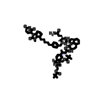 C/C(=C\C(=O)N[C@H]1CCc2cccc3c2N(C1=O)[C@H](C(=O)N[C@@H](CCC(N)=O)[C@@H](C)OCc1ccc(CCCCCc2cccc4c2n(C)c(=O)n4C2CCC(=O)NC2=O)cc1)C3)c1ccc(C(F)(F)P(=O)(OCOC(=O)C(C)(C)C)OCOC(=O)C(C)(C)C)cc1